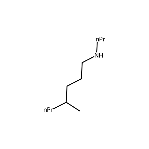 CCCNCCCC(C)CCC